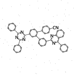 N#Cc1ccc(-c2ccc(-c3nc(-c4ccccc4)nc(-c4ccccc4)n3)cc2-c2cccc(-c3nc(-c4ccccc4)c4ccccc4n3)c2)cc1